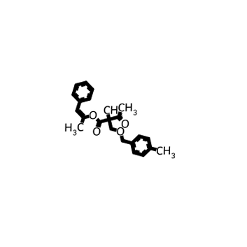 CC(=O)C(C)(COCc1ccc(C)cc1)C(=O)O/C(C)=C\c1ccccc1